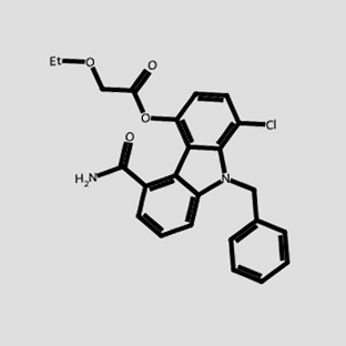 CCOCC(=O)Oc1ccc(Cl)c2c1c1c(C(N)=O)cccc1n2Cc1ccccc1